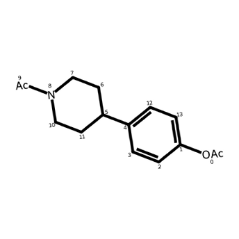 CC(=O)Oc1ccc(C2CCN(C(C)=O)CC2)cc1